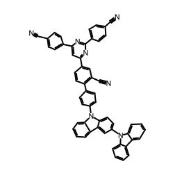 N#Cc1ccc(-c2cc(-c3ccc(-c4ccc(-n5c6ccccc6c6cc(-n7c8ccccc8c8ccccc87)ccc65)cc4)c(C#N)c3)nc(-c3ccc(C#N)cc3)n2)cc1